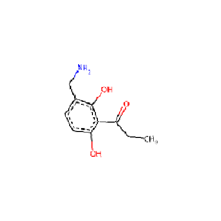 CCC(=O)c1c(O)ccc(CN)c1O